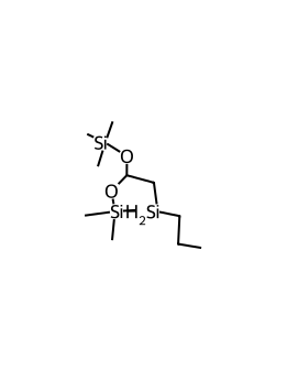 CCC[SiH2]CC(O[Si](C)(C)C)O[Si](C)(C)C